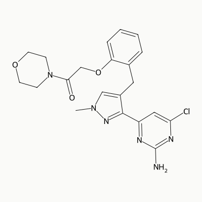 Cn1cc(Cc2ccccc2OCC(=O)N2CCOCC2)c(-c2cc(Cl)nc(N)n2)n1